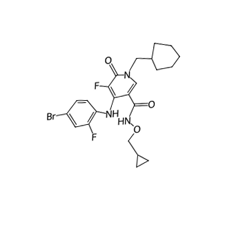 O=C(NOCC1CC1)c1cn(CC2CCCCC2)c(=O)c(F)c1Nc1ccc(Br)cc1F